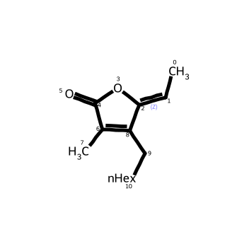 C/C=C1\OC(=O)C(C)=C1CCCCCCC